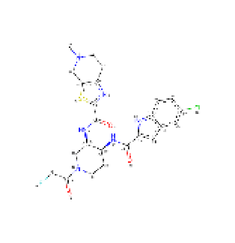 CN1CCc2nc(C(=O)N[C@@H]3CN(C(=O)CF)CC[C@@H]3NC(=O)c3cc4cc(Cl)ccc4[nH]3)sc2C1